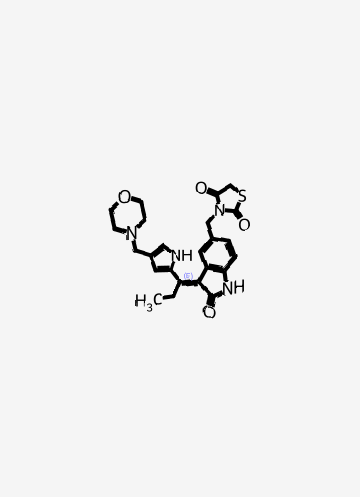 CC/C(=C1\C(=O)Nc2ccc(CN3C(=O)CSC3=O)cc21)c1cc(CN2CCOCC2)c[nH]1